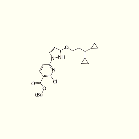 CC(C)(C)OC(=O)c1ccc(N2C=CC(OCCC(C3CC3)C3CC3)N2)nc1Cl